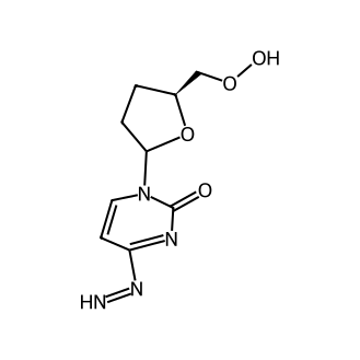 N=Nc1ccn(C2CC[C@@H](COO)O2)c(=O)n1